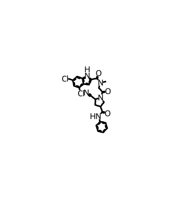 CN(CC(=O)N1CC(C(=O)Nc2ccccc2)CC1C#N)C(=O)c1cc2c(Cl)cc(Cl)cc2[nH]1